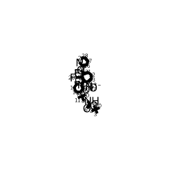 CC(C)(C)OC(=O)NCC(C)(C)[C@@H]1CCCN(C2=C(C(F)(F)F)C(Oc3ccccn3)=CCC=C2[N+](=O)[O-])C1